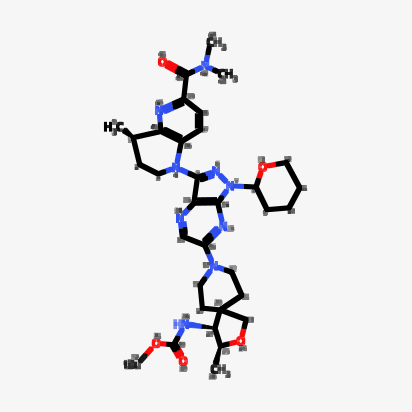 C[C@@H]1CCN(c2nn(C3CCCCO3)c3nc(N4CCC5(CC4)CO[C@@H](C)[C@H]5NC(=O)OC(C)(C)C)cnc23)c2ccc(C(=O)N(C)C)nc21